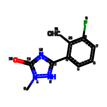 Cn1[nH]c(-c2cccc(F)c2C=O)nc1=O